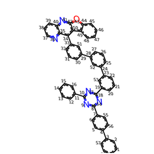 c1ccc(-c2ccc(-c3nc(-c4ccccc4)nc(-c4cccc(-c5cccc(-c6cccc(-c7c8ncccc8nc8oc9ccccc9c78)c6)c5)c4)n3)cc2)cc1